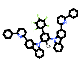 N#Cc1c(-n2c3ccccc3c3ccc(-c4cccc(-c5ccccc5)n4)cc32)cc(-c2c(F)c(F)c(F)c(F)c2F)cc1-n1c2ccccc2c2ccc(-c3cccc(-c4ccccc4)n3)cc21